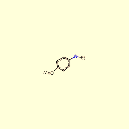 CC[N]c1ccc(OC)cc1